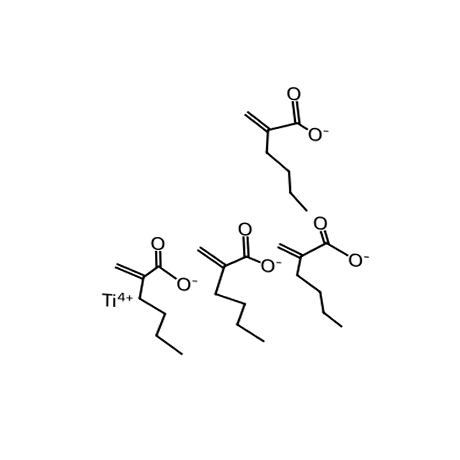 C=C(CCCC)C(=O)[O-].C=C(CCCC)C(=O)[O-].C=C(CCCC)C(=O)[O-].C=C(CCCC)C(=O)[O-].[Ti+4]